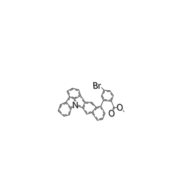 COC(=O)c1ccc(Br)cc1-c1cccc2cc3c(cc12)c1cccc2c4ccccc4n3c21